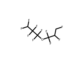 FCC(F)C(F)(F)OC(F)(F)C(F)(F)C(F)F